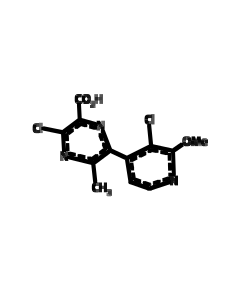 COc1nccc(-c2nc(C(=O)O)c(Cl)nc2C)c1Cl